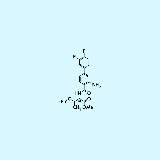 COC(=O)[C@@H](NC(=O)c1ccc(-c2ccc(F)c(F)c2)cc1N)C(C)OC(C)(C)C